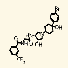 O=C(CNC(=O)c1cccc(C(F)(F)F)c1)N[C@H]1CN(C2CCC(O)(c3ccc(Br)cc3)CC2)C[C@@H]1O